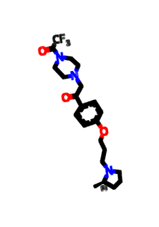 C[C@@H]1CCCN1CCCOc1ccc(C(=O)CN2CCN(C(=O)C(F)(F)F)CC2)cc1